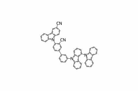 N#Cc1ccc2c(c1)c1ccccc1n2-c1ccc(-c2cccc(-n3c4ccccc4c4c(-n5c6ccccc6c6ccccc65)cccc43)c2)cc1C#N